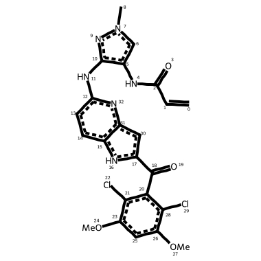 C=CC(=O)Nc1cn(C)nc1Nc1ccc2[nH]c(C(=O)c3c(Cl)c(OC)cc(OC)c3Cl)cc2n1